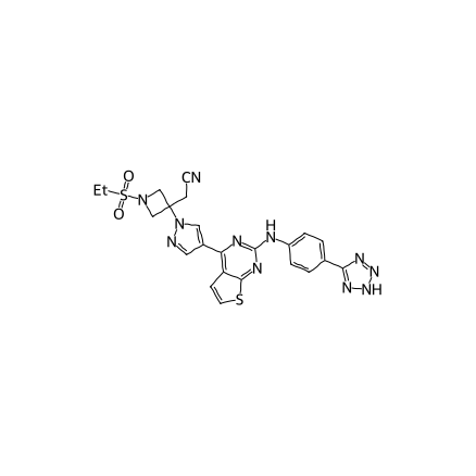 CCS(=O)(=O)N1CC(CC#N)(n2cc(-c3nc(Nc4ccc(-c5nn[nH]n5)cc4)nc4sccc34)cn2)C1